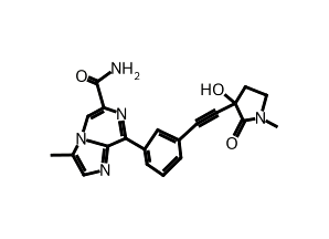 Cc1cnc2c(-c3cccc(C#CC4(O)CCN(C)C4=O)c3)nc(C(N)=O)cn12